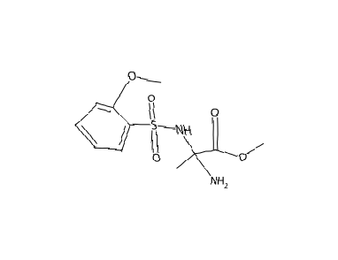 COC(=O)C(C)(N)NS(=O)(=O)c1ccccc1OC